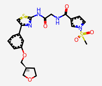 CS(=O)(=O)n1ccc(C(=O)NCC(=O)Nc2nc(-c3cccc(OC[C@H]4CCOC4)c3)cs2)c1